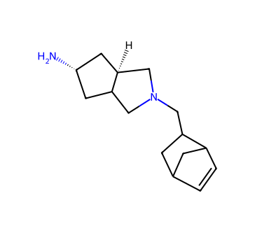 N[C@H]1CC2CN(CC3CC4C=CC3C4)C[C@@H]2C1